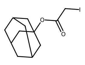 O=C(CI)OC12CC3CC(CC(C3)C1)C2